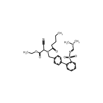 CCCCC(=O)N(Cc1ccc(-c2ccccc2S(=O)(=O)N=CN(C)C)cc1)C(C#N)C(=O)OCC